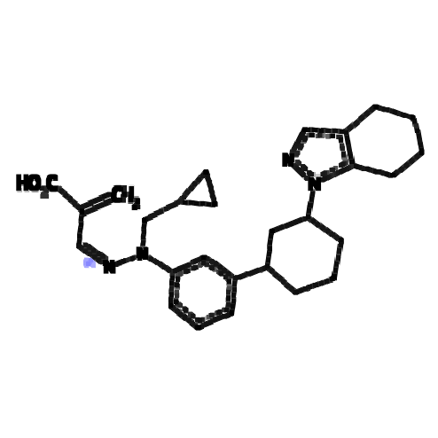 C=C(/C=N\N(CC1CC1)c1cccc(C2CCCC(n3ncc4c3CCCC4)C2)c1)C(=O)O